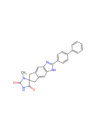 CN1C(=O)NC(=O)C12Cc1cc3nc(-c4ccc(-c5ccccc5)cc4)[nH]c3cc1C2